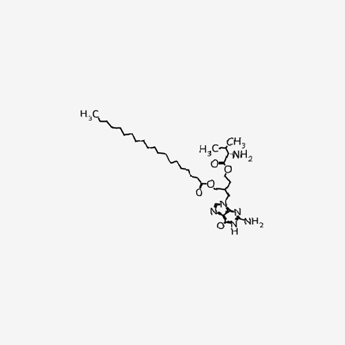 CCCCCCCCCCCCCCCCCCCC(=O)OCC(CCOC(=O)[C@@H](N)C(C)C)Cn1cnc2c(=O)[nH]c(N)nc21